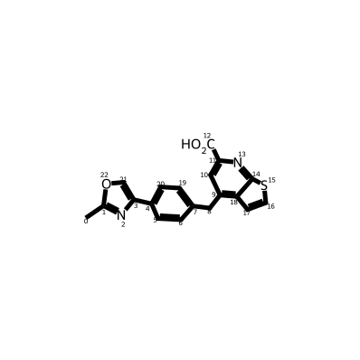 Cc1nc(-c2ccc(Cc3cc(C(=O)O)nc4sccc34)cc2)co1